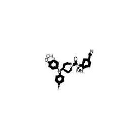 COc1ccc(N(c2ccc(F)cc2)C2CCN(C(=O)n3nnc4ccc(C#N)cc43)CC2)cc1